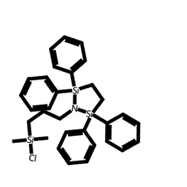 C[Si](C)(Cl)CCCN1[Si](c2ccccc2)(c2ccccc2)CC[Si]1(c1ccccc1)c1ccccc1